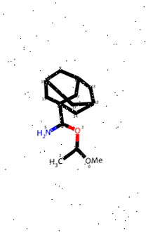 COC(C)OC(N)C12CC3CC(CC(C3)C1)C2